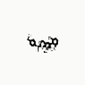 COn1c(=O)c(-c2c(Cl)cccc2Cl)cc2cnc(Nc3ccc(CO)cc3)nc21